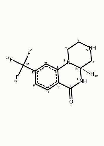 O=C1N[C@@H]2CNCCN2c2cc(C(F)(F)F)ccc21